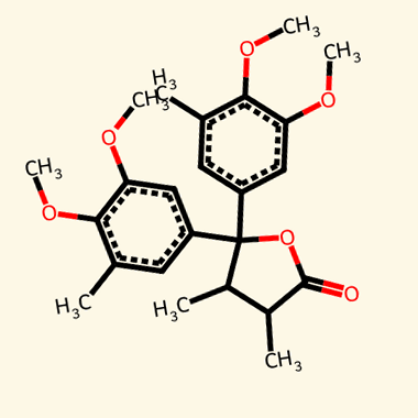 COc1cc(C2(c3cc(C)c(OC)c(OC)c3)OC(=O)C(C)C2C)cc(C)c1OC